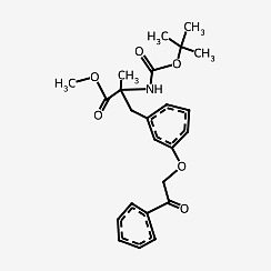 COC(=O)C(C)(Cc1cccc(OCC(=O)c2ccccc2)c1)NC(=O)OC(C)(C)C